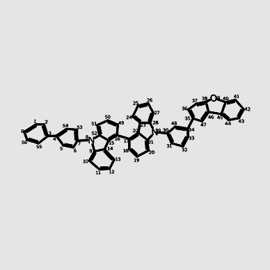 c1ccc(-c2ccc(-n3c4ccccc4c4c(-c5cccc6c5c5ccccc5n6-c5cccc(-c6ccc7oc8ccccc8c7c6)c5)cccc43)cc2)cc1